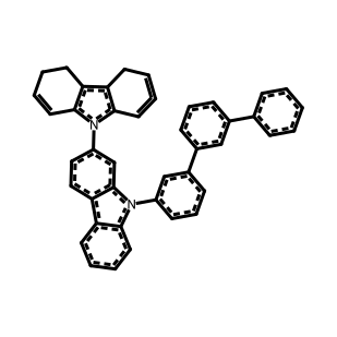 C1=CCc2c3c(n(-c4ccc5c6ccccc6n(-c6cccc(-c7cccc(-c8ccccc8)c7)c6)c5c4)c2C=1)C=CCC3